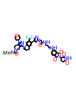 CNC(=O)N1CCc2c(c(N3CCCc4cc(-c5cnn(CC(=O)NCCCNc6ccc7c(c6)C(=O)N(C6CCC(=O)NC6=O)C7=O)c5)c(C(F)F)cc43)nn2C2CCOCC2)C1